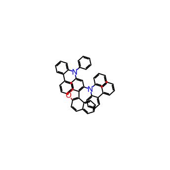 c1ccc(-c2ccccc2N(c2ccccc2)c2cc(N(c3ccccc3)c3ccccc3-c3ccccc3)c3c(c2)oc2ccc4ccccc4c23)cc1